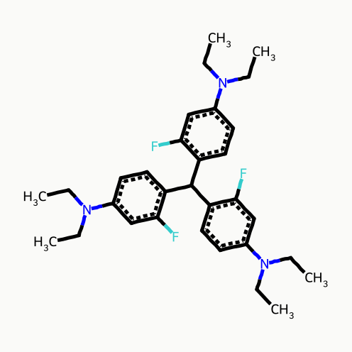 CCN(CC)c1ccc(C(c2ccc(N(CC)CC)cc2F)c2ccc(N(CC)CC)cc2F)c(F)c1